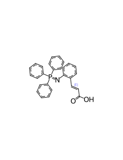 O=C(O)/C=C/c1ccccc1N=P(c1ccccc1)(c1ccccc1)c1ccccc1